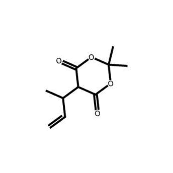 C=CC(C)C1C(=O)OC(C)(C)OC1=O